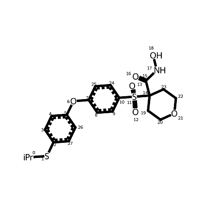 CC(C)Sc1ccc(Oc2ccc(S(=O)(=O)C3(C(=O)NO)CCOCC3)cc2)cc1